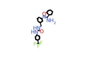 NC1c2ccccc2ON1c1cccc(CNC(=O)Nc2ccc(C(F)(F)F)cc2)c1